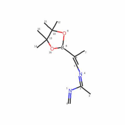 C=N/C(C)=N\C=C(/C)B1OC(C)(C)C(C)(C)O1